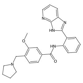 COc1cc(C(=O)Nc2ccccc2-c2nc3cccnc3[nH]2)ccc1CN1CCCC1